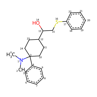 CN(C)C1(c2ccccc2)CCC(C(O)CSc2ccccc2)CC1